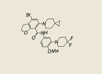 COc1ccc(NC(=O)c2c(N3CCC4(CC3)CC4)cc(Br)c3c2OCC3)cc1N1CCC(F)(F)CC1